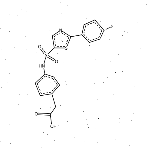 O=C(O)Cc1ccc(NS(=O)(=O)c2cnc(-c3ccc(F)cc3)s2)cc1